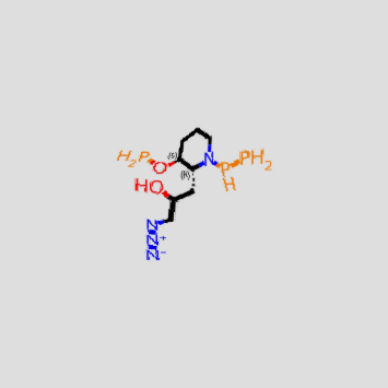 [N-]=[N+]=NCC(O)C[C@@H]1[C@@H](OP)CCCN1PP